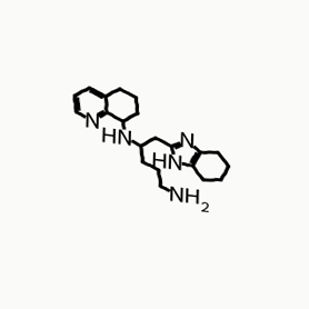 NCCCC(Cc1nc2c([nH]1)CCCC2)NC1CCCc2cccnc21